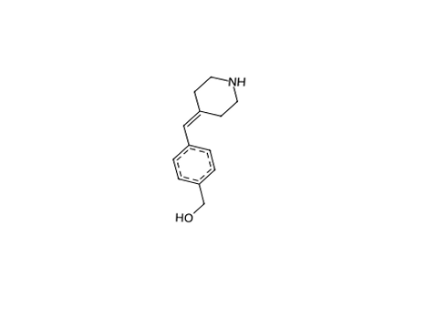 OCc1ccc(C=C2CCNCC2)cc1